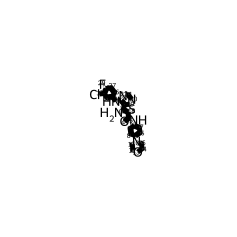 Nc1c(C(=O)Nc2ccc(N3CCOCC3)cc2)sc2ncnc(Nc3ccc(F)c(Cl)c3)c12